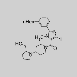 CCCCCCc1cccc(-c2nc(I)c(C(=O)N3CCC(N4CCCC4CO)CC3)n2C)c1